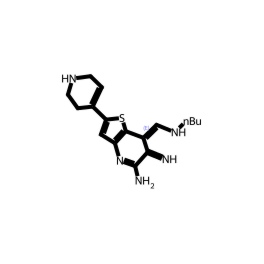 CCCCN/C=C1\C(=N)C(N)=Nc2cc(C3=CCNCC3)sc21